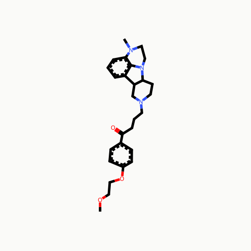 COCCOc1ccc(C(=O)CCCN2CCC3C(C2)c2cccc4c2N3CCN4C)cc1